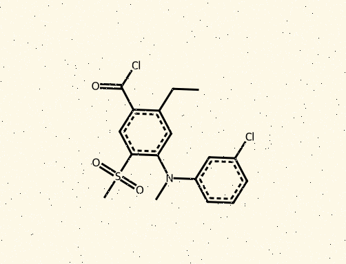 CCc1cc(N(C)c2cccc(Cl)c2)c(S(C)(=O)=O)cc1C(=O)Cl